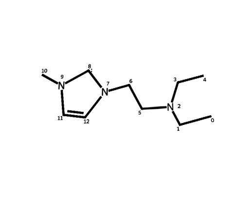 CCN(CC)CCN1[C]N(C)C=C1